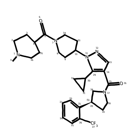 CN1CCC(C(=O)N2CCC(n3ncc(C(=O)N4CC[C@@H](c5ccccc5C(F)(F)F)C4)c3C3CC3)CC2)CC1